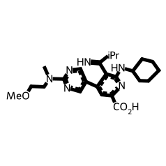 COCCN(C)c1ncc(-c2cc(C(=O)O)nc(NC3CCCCC3)c2C(=N)C(C)C)cn1